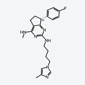 CNc1nc(NCCCCn2cnc(C)c2)nc2c1CC[C@@H]2c1ccc(F)cc1